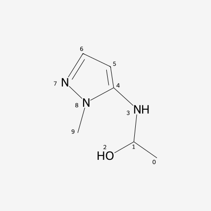 CC(O)Nc1ccnn1C